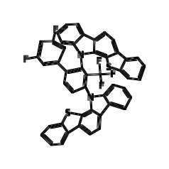 Fc1cc(F)cc(-c2ccc(-n3c4ccccc4c4ccc5c6ccccc6sc5c43)c(C(F)(F)F)c2-n2c3ccccc3c3ccc4c5ccccc5sc4c32)c1